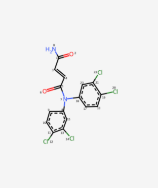 NC(=O)/C=C/C(=O)N(c1ccc(Cl)c(Cl)c1)c1ccc(Cl)c(Cl)c1